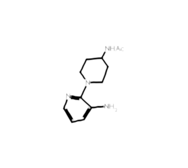 CC(=O)NC1CCN(c2ncccc2N)CC1